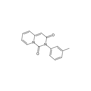 Cc1cccc(-n2c(=O)cc3ccccn3c2=O)c1